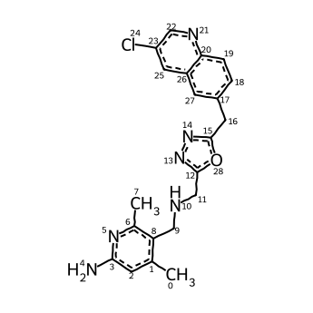 Cc1cc(N)nc(C)c1CNCc1nnc(Cc2ccc3ncc(Cl)cc3c2)o1